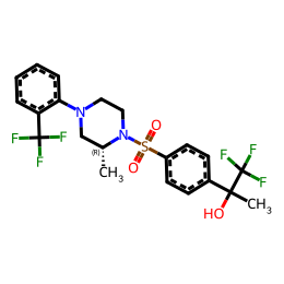 C[C@@H]1CN(c2ccccc2C(F)(F)F)CCN1S(=O)(=O)c1ccc(C(C)(O)C(F)(F)F)cc1